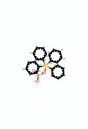 [O-][Br+2]([O-])OP(c1ccccc1)(c1ccccc1)(c1ccccc1)c1ccccc1